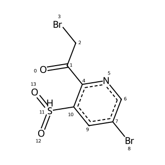 O=C(CBr)c1ncc(Br)cc1[SH](=O)=O